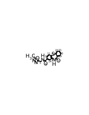 Cc1nnc(CNC(=O)c2ccc3c(c2)NC(=O)c2ccccc2S3)o1